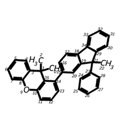 CC1(C)c2ccccc2Oc2cccc(-c3ccc4c(c3)C(C)(c3ccccc3)c3ccccc3-4)c21